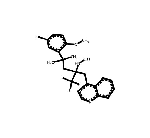 COc1ccc(F)cc1C(C)(C)CC(Cc1ccnc2ccccc12)(NO)C(F)(F)F